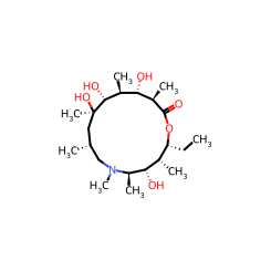 CC[C@H]1OC(=O)[C@H](C)[C@@H](O)[C@H](C)[C@@H](O)[C@](C)(O)C[C@@H](C)CN(C)[C@H](C)[C@@H](O)[C@H]1C